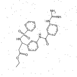 CCOC(=O)CC(NS(=O)(=O)c1ccccc1)c1cccc(NC(=O)c2cccc(NC(=N)N)c2)c1